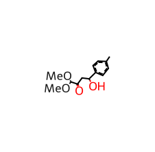 COC(OC)C(=O)CC(O)c1ccc(C)cc1